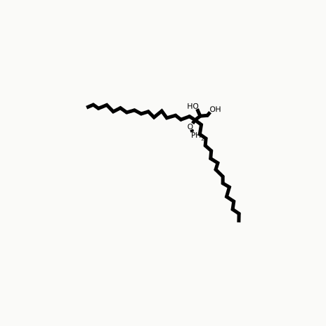 CCCCCCCCCCCCCCCCC(CCCCCCCCCCCCCCCC)(OP)C(O)CO